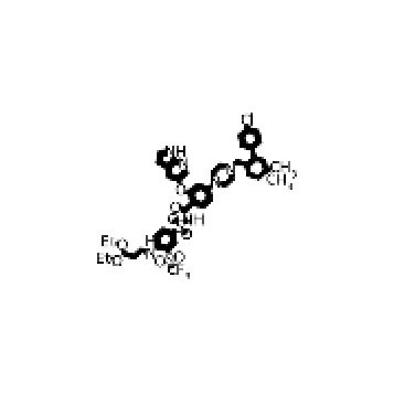 CCOC(CCNc1ccc(S(=O)(=O)NC(=O)c2ccc(N3CCN(CC4=C(c5ccc(Cl)cc5)CC(C)(C)CC4)CC3)cc2Oc2cnc3[nH]ccc3c2)cc1S(=O)(=O)C(F)(F)F)OCC